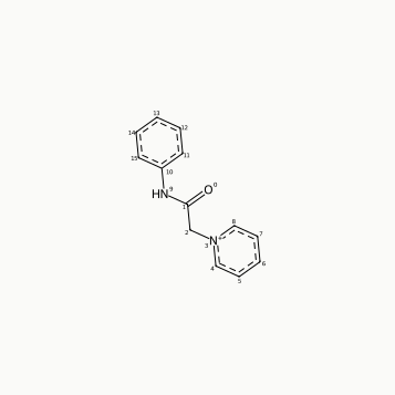 O=C(C[n+]1ccccc1)Nc1ccccc1